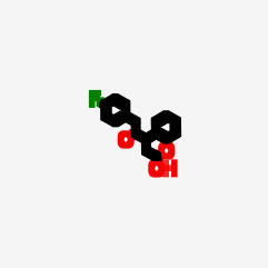 O=C(O)CC(C(=O)Cc1ccc(F)cc1)c1ccccc1